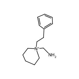 NC[N+]1(CCc2ccccc2)CCCCC1